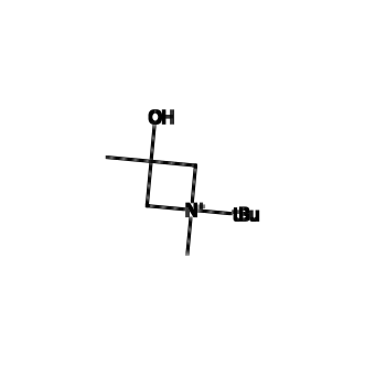 CC1(O)C[N+](C)(C(C)(C)C)C1